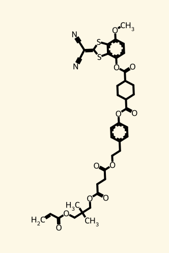 C=CC(=O)OCC(C)(C)COC(=O)CCC(=O)OCCc1ccc(OC(=O)C2CCC(C(=O)Oc3ccc(OC)c4c3SC(=C(C#N)C#N)S4)CC2)cc1